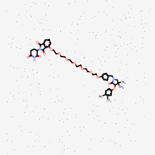 CC1(C)CN(Cc2ccc(OCCOCCOCCOCCOCCOCCOc3cccc4c3C(=O)N(C3CCC(=O)NC3=O)C4=O)cc2)C(=O)C1Oc1ccc(C#N)c(C(F)(F)F)c1